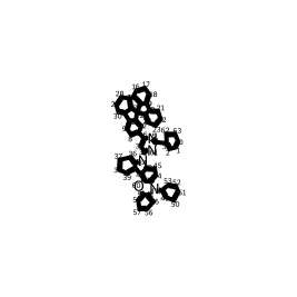 c1ccc(-c2nc(-c3ccc4c(c3)C3(c5ccccc5-c5ccccc53)c3ccccc3-4)cc(-n3c4ccccc4c4c5c(ccc43)N(c3ccccc3)c3ccccc3O5)n2)cc1